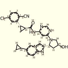 N#Cc1ccc(Cl)cc1[C@H]1C[C@@H]1C(=O)Nc1cc(N2C[C@@H](O)C[C@@H]2c2cn3cc(C4CC4)ccc3n2)ncn1